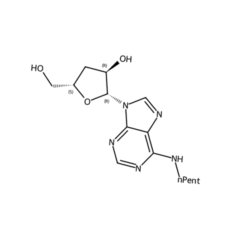 CCCCCNc1ncnc2c1ncn2[C@@H]1O[C@H](CO)C[C@H]1O